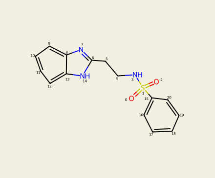 O=S(=O)(NCCc1nc2ccccc2[nH]1)c1ccccc1